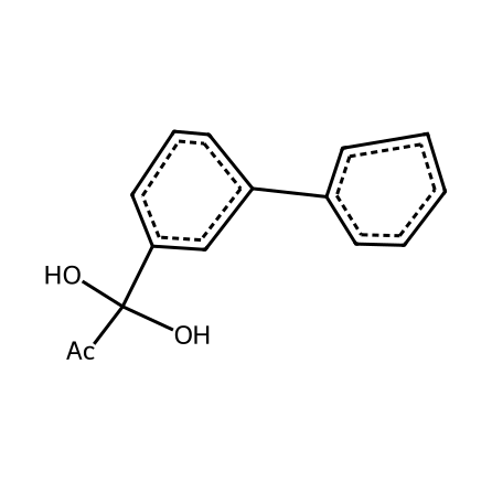 CC(=O)C(O)(O)c1cccc(-c2ccccc2)c1